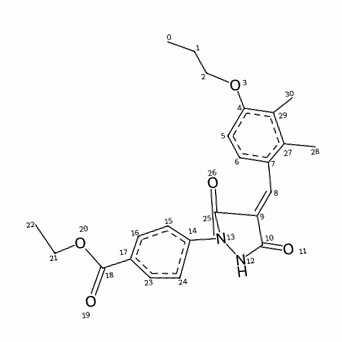 CCCOc1ccc(C=C2C(=O)NN(c3ccc(C(=O)OCC)cc3)C2=O)c(C)c1C